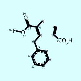 C=CC(=O)O.CC(=CCc1ccccc1)C(=O)OF